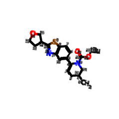 C[C@H]1CC=C(c2ccc3sc(C4CCOC4)nc3c2)N(C(=O)OC(C)(C)C)C1